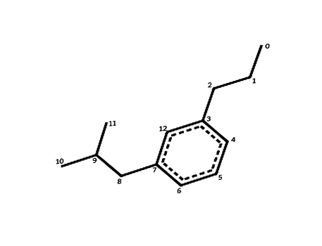 CCCc1cccc(CC(C)C)c1